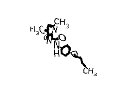 CCCCCO[C@H]1CC[C@H](NC(=O)c2noc3c(C)cc(C)nc23)CC1